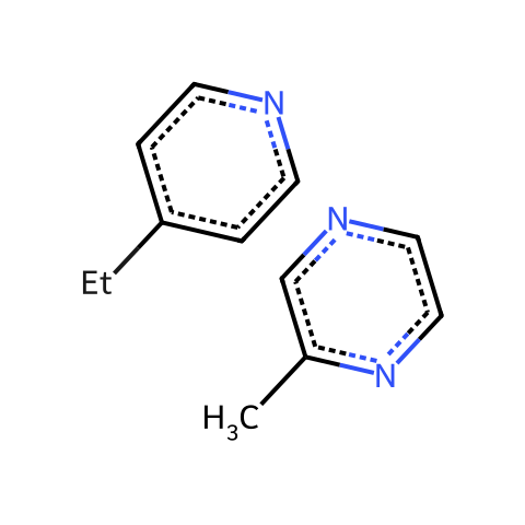 CCc1ccncc1.Cc1cnccn1